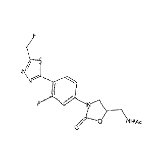 CC(=O)NCC1CN(c2ccc(-c3nnc(CF)s3)c(F)c2)C(=O)O1